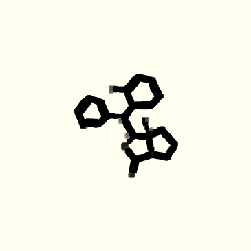 O=C1O[C@H]([C@@H](c2ccccc2)c2ccccc2F)[C@H]2CCCN12